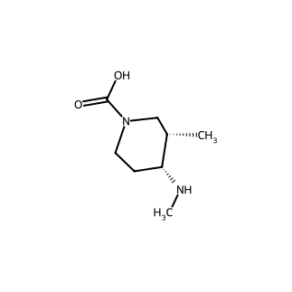 CN[C@@H]1CCN(C(=O)O)C[C@@H]1C